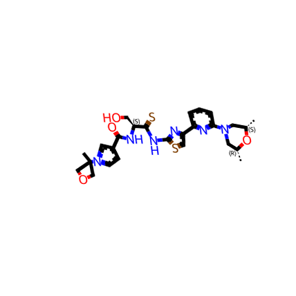 C[C@@H]1CN(c2cccc(-c3csc(NC(=S)[C@H](CO)NC(=O)c4ccn(C5(C)COC5)c4)n3)n2)C[C@H](C)O1